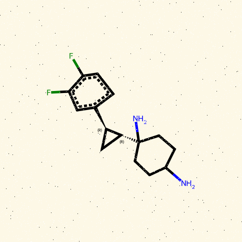 NC1CCC(N)([C@@H]2C[C@H]2c2ccc(F)c(F)c2)CC1